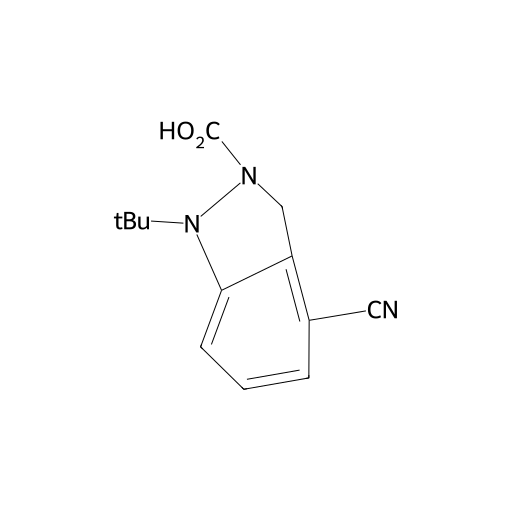 CC(C)(C)N1c2cccc(C#N)c2CN1C(=O)O